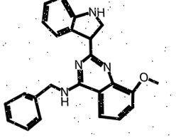 COc1cccc2c(NCc3ccccc3)nc(C3CNc4ccccc43)nc12